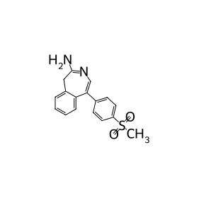 CS(=O)(=O)c1ccc(C2=CN=C(N)Cc3ccccc32)cc1